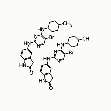 CC1CCC(Nc2nc(Nc3ccc4c(c3)CC(=O)N4)ncc2Br)CC1.CC1CCC(Nc2nc(Nc3ccc4c(c3)CC(=O)N4)ncc2Br)CC1